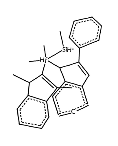 CC1=[C]([Hf]([CH3])([CH3])([CH]2C(c3ccccc3)=Cc3ccccc32)[SiH](C)C)C(C)c2ccccc21